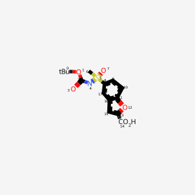 CC(C)(C)OC(=O)N=S(C)(=O)c1ccc2oc(C(=O)O)cc2c1